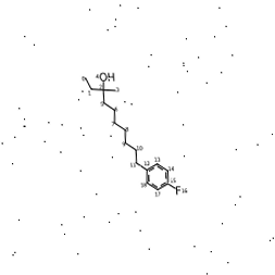 CCC(C)(O)CCCCCCCc1ccc(F)cc1